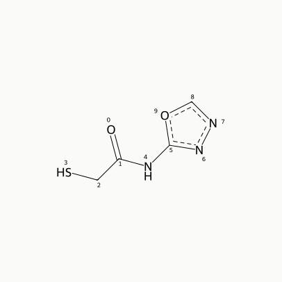 O=C(CS)Nc1nnco1